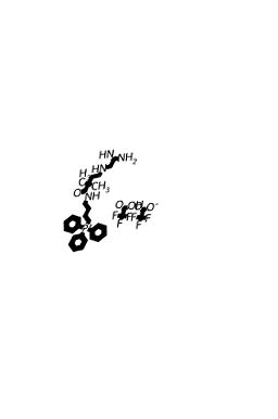 CC(C)(CCNCC(=N)N)C(=O)NCCCC[P+](c1ccccc1)(c1ccccc1)c1ccccc1.O=C(O)C(F)(F)F.O=C([O-])C(F)(F)F